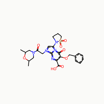 CC1CN(C(=O)Cn2cc(N3CCCS3(=O)=O)n3c(=O)c(OCc4ccccc4)c(C(=O)O)nc23)CC(C)O1